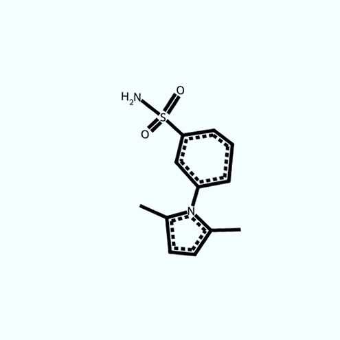 Cc1ccc(C)n1-c1cccc(S(N)(=O)=O)c1